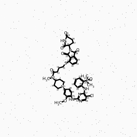 COc1cc(N2CCC(N(C)C(=O)CCCSc3cccc4c3C(=O)N(C3CCC(=O)NC3=O)C4=O)CC2)ccc1Nc1ncc(Cl)c(Nc2ccccc2P(C)(C)=O)n1